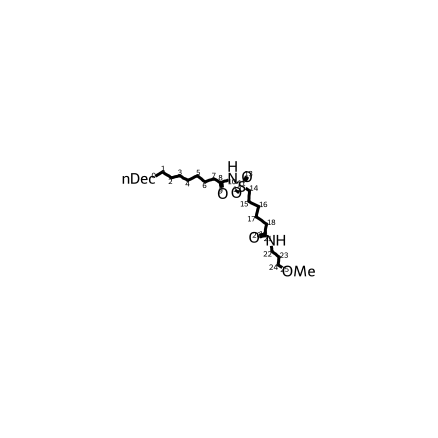 CCCCCCCCCCCCCCCCCC(=O)NS(=O)(=O)CCCCCC(=O)NCCCOC